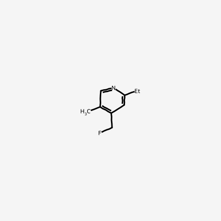 CCc1cc(CF)c(C)cn1